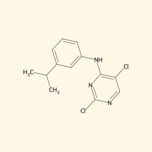 CC(C)c1cccc(Nc2nc(Cl)ncc2Cl)c1